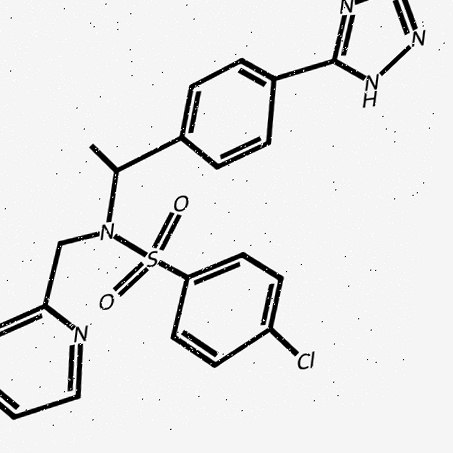 CC(c1ccc(-c2nnn[nH]2)cc1)N(Cc1ccccn1)S(=O)(=O)c1ccc(Cl)cc1